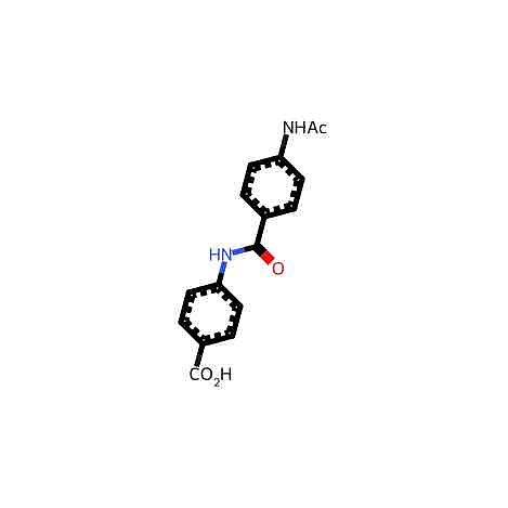 CC(=O)Nc1ccc(C(=O)Nc2ccc(C(=O)O)cc2)cc1